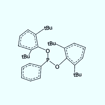 CC(C)(C)c1cccc(C(C)(C)C)c1OP(Oc1c(C(C)(C)C)cccc1C(C)(C)C)c1ccccc1